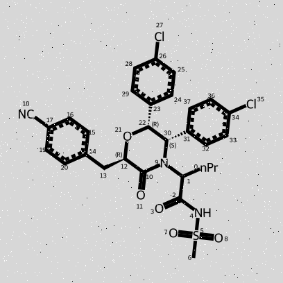 CCCC(C(=O)NS(C)(=O)=O)N1C(=O)[C@@H](Cc2ccc(C#N)cc2)O[C@H](c2ccc(Cl)cc2)[C@@H]1c1ccc(Cl)cc1